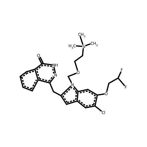 C[Si](C)(C)CCOCn1c(Cc2n[nH]c(=O)c3ccccc23)cc2cc(Cl)c(OCC(F)F)cc21